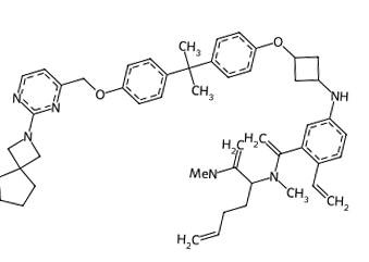 C=CCCC(C(=C)NC)N(C)C(=C)c1cc(NC2CC(Oc3ccc(C(C)(C)c4ccc(OCc5ccnc(N6CC7(CCCC7)C6)n5)cc4)cc3)C2)ccc1C=C